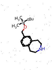 CC(C)(C)[Si](C)(C)OCc1ccc2c(c1)CCNCC2